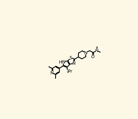 Cc1cc(-c2[nH]c3sc(C4CCN(CC(=O)N(C)C)CC4)nc3c2C(C)C)cc(C)n1